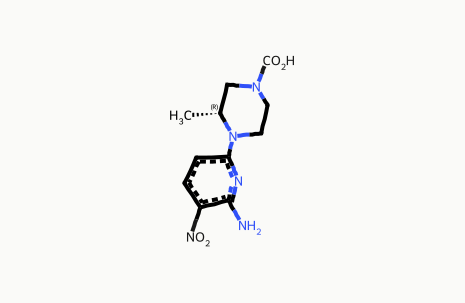 C[C@@H]1CN(C(=O)O)CCN1c1ccc([N+](=O)[O-])c(N)n1